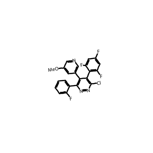 COc1cncc(-c2c(-c3ccccc3F)nnc(Cl)c2-c2c(F)cc(F)cc2F)c1